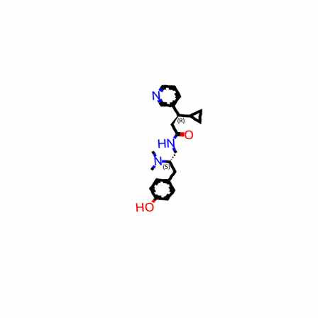 CN(C)[C@H](CNC(=O)C[C@@H](c1cccnc1)C1CC1)Cc1ccc(O)cc1